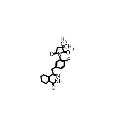 CC1(C)CC(=O)N(c2cc(Cc3n[nH]c(=O)c4c3CCCC4)ccc2F)C1=O